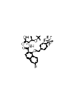 CC(OC(C)(C)C)[C@H](NC(=O)c1ccc2cc(F)ccc2c1OCc1ccc(S(F)(F)(F)(F)F)cc1)C(=O)O